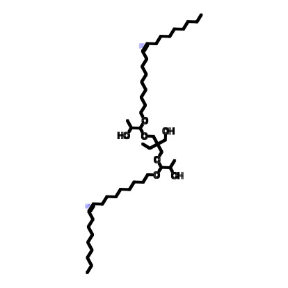 CCCCCCCC/C=C\CCCCCCCCOC(OCC(CC)(CO)COC(OCCCCCCCC/C=C\CCCCCCCC)C(C)O)C(C)O